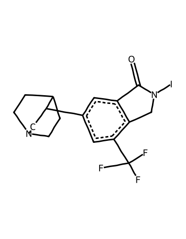 O=C1c2cc(C3CN4CCC3CC4)cc(C(F)(F)F)c2CN1I